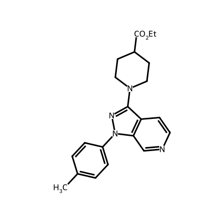 CCOC(=O)C1CCN(c2nn(-c3ccc(C)cc3)c3cnccc23)CC1